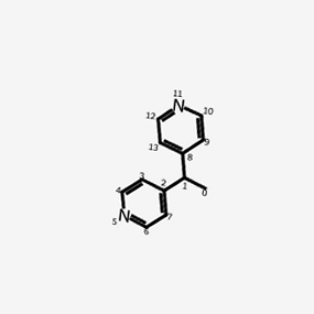 CC(c1ccncc1)c1ccncc1